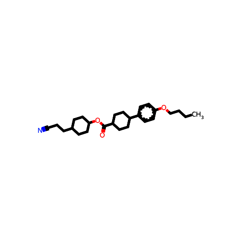 CCCCOc1ccc(C2CCC(C(=O)OC3CCC(CCC#N)CC3)CC2)cc1